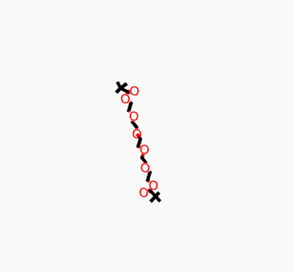 CC(C)(C)C(=O)OCCOCCOCCOCCOCCOC(=O)C(C)(C)C